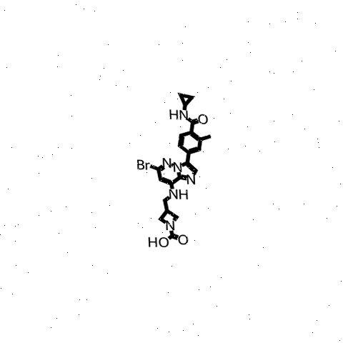 Cc1cc(-c2cnc3c(NCC4CN(C(=O)O)C4)cc(Br)nn23)ccc1C(=O)NC1CC1